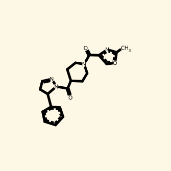 Cc1nc(C(=O)N2CCC(C(=O)N3N=CCC3c3ccccc3)CC2)co1